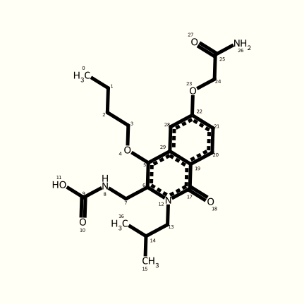 CCCCOc1c(CNC(=O)O)n(CC(C)C)c(=O)c2ccc(OCC(N)=O)cc12